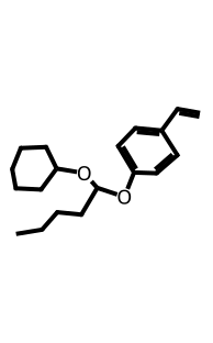 C=Cc1ccc(OC(CCCC)OC2CCCCC2)cc1